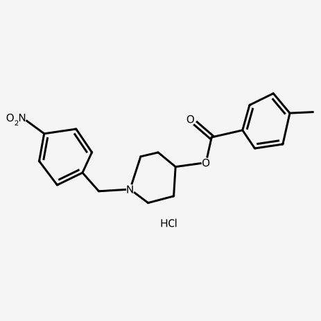 Cc1ccc(C(=O)OC2CCN(Cc3ccc([N+](=O)[O-])cc3)CC2)cc1.Cl